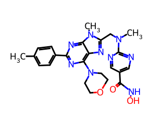 Cc1ccc(-c2nc(N3CCOCC3)c3nc(CN(C)c4ncc(C(=O)NO)cn4)n(C)c3n2)cc1